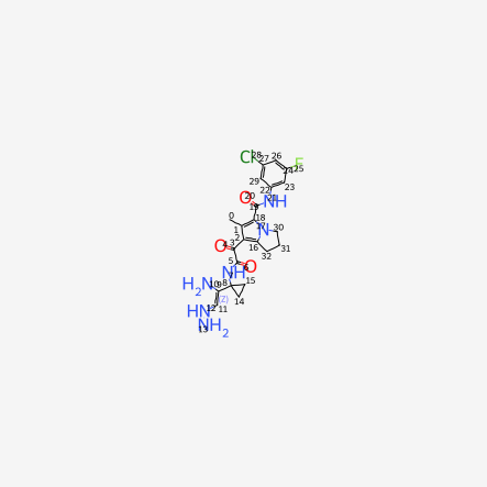 Cc1c(C(=O)C(=O)NC2(/C(N)=C/NN)CC2)c2n(c1C(=O)Nc1cc(F)cc(Cl)c1)CCC2